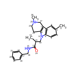 Cc1ccc2c(c1)c1c(n2CC(C)C(=O)NCc2ccccc2)CCN(C)C1